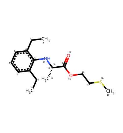 CCc1cccc(CC)c1N[C@@H](C)C(=O)OCCSC